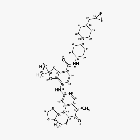 CC[C@@H]1C(=O)N(C)c2cnc(Nc3ccc(C(=O)N[C@H]4CC[C@@H](N5CCN(CC6CC6)CC5)CC4)c4c3OC(C)(C)C4)nc2N1C1CCCC1